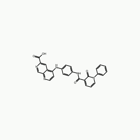 O=C(O)c1cc2c(Nc3ccc(NC(=O)c4cccn(-c5ccccc5)c4=O)cc3)ccnc2cn1